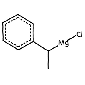 C[CH]([Mg][Cl])c1ccccc1